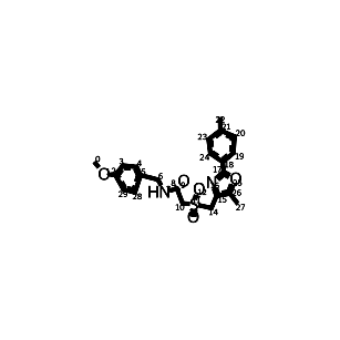 COc1ccc(CNC(=O)CS(=O)(=O)Cc2nc(-c3ccc(C)cc3)oc2C)cc1